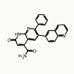 NC(=O)c1cc(=O)[nH]c2nc(-c3ccccc3)c(-c3ccc4ncccc4c3)cc12